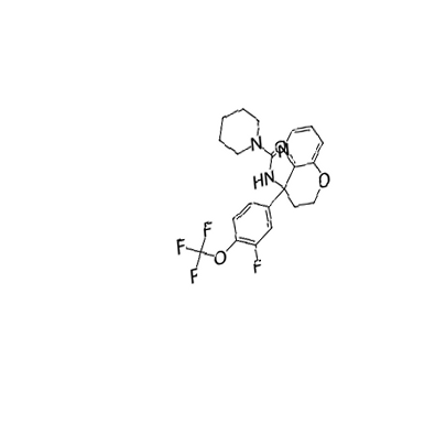 O=C(NC1(c2ccc(OC(F)(F)F)c(F)c2)CCOc2cccnc21)N1CCCCC1